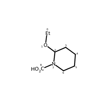 CCOC1CCCCN1C(=O)O